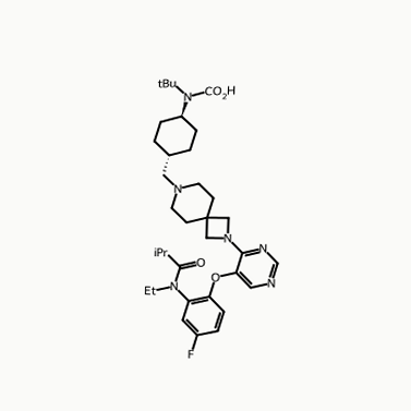 CCN(C(=O)C(C)C)c1cc(F)ccc1Oc1cncnc1N1CC2(CCN(C[C@H]3CC[C@H](N(C(=O)O)C(C)(C)C)CC3)CC2)C1